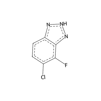 Fc1c(Cl)ccc2n[nH]nc12